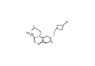 Cc1cc(=O)n(C(CC(C)C)C(N)=O)cc1CCN1CC(F)C1